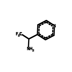 NC(c1ccncc1)C(F)(F)F